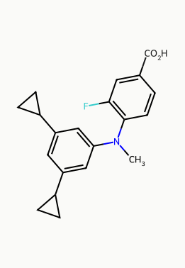 CN(c1cc(C2CC2)cc(C2CC2)c1)c1ccc(C(=O)O)cc1F